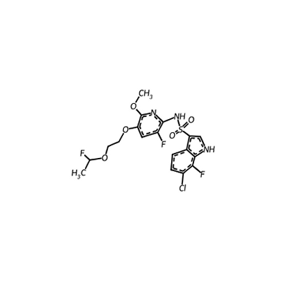 COc1nc(NS(=O)(=O)c2c[nH]c3c(F)c(Cl)ccc23)c(F)cc1OCCOC(C)F